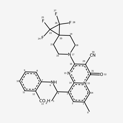 Cc1cc(C(C)Nc2ccccc2C(=O)O)c2nc(N3CCC4(CC3)C(F)(F)C4(F)F)c(C#N)c(=O)n2c1